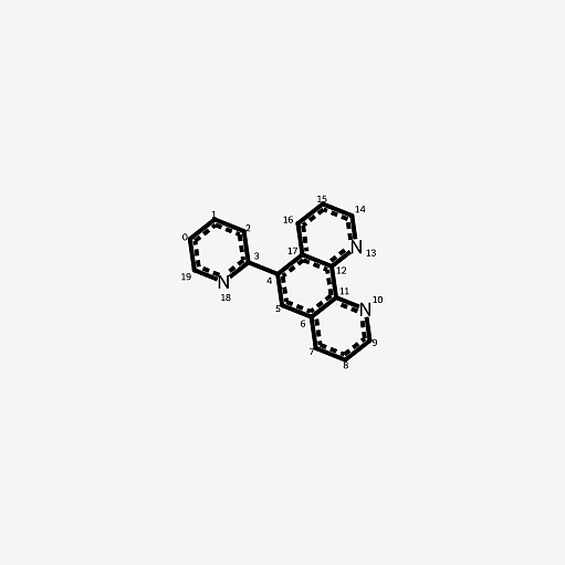 c1ccc(-c2cc3cccnc3c3ncccc23)nc1